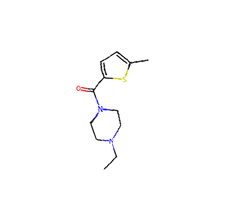 CCN1CCN(C(=O)c2ccc(C)s2)CC1